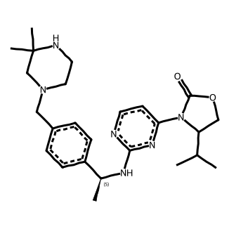 CC(C)C1COC(=O)N1c1ccnc(N[C@@H](C)c2ccc(CN3CCNC(C)(C)C3)cc2)n1